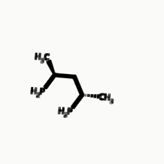 C[C@H](P)C[C@H](C)P